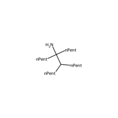 CCCCCC(CCCCC)C(N)(CCCCC)CCCCC